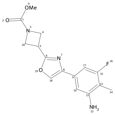 COC(=O)N1CC(c2nc(-c3cc(N)c(C)c(F)c3)co2)C1